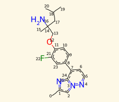 Cc1cn2nccc(-c3ccc(OCC(C)(N)CC(C)C)c(F)c3)c2n1